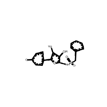 O=S(=O)(Cc1ccccc1)Nc1oc(-c2ccc(Cl)cc2)c(O)c1O